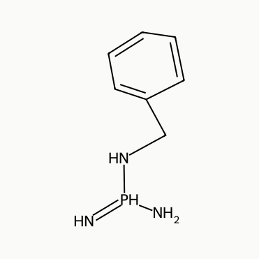 N=[PH](N)NCc1ccccc1